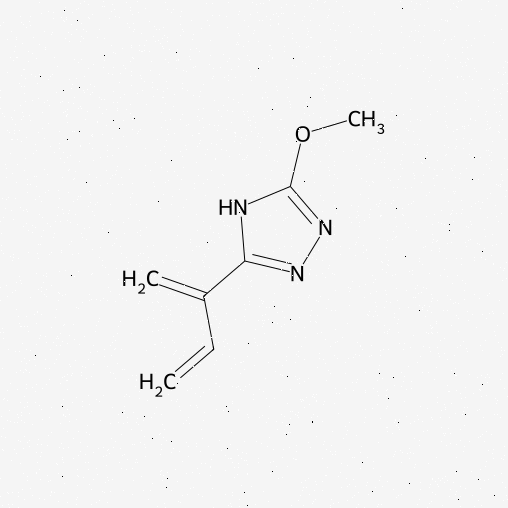 C=CC(=C)c1nnc(OC)[nH]1